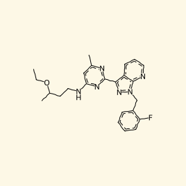 CCOC(C)CCNc1cc(C)nc(-c2nn(Cc3ccccc3F)c3ncccc23)n1